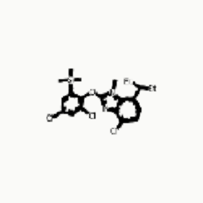 CCC(CC)c1ccc(Cl)c2nc(Oc3c(Cl)cc(Cl)cc3[Si](C)(C)C)n(C)c12